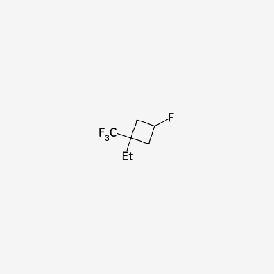 CCC1(C(F)(F)F)CC(F)C1